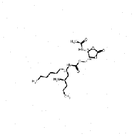 CCCCCC[C@@H](CC(N)CCC)NC(=O)O[CH][C@H]1OC(=O)O[C@H]1NC(C)=O